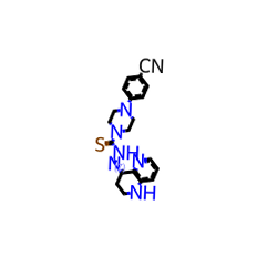 N#Cc1ccc(N2CCN(C(=S)N/N=C3/CCNc4cccnc43)CC2)cc1